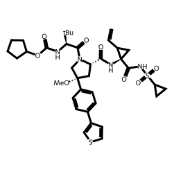 C=CC1C[C@]1(NC(=O)[C@@H]1C[C@@](OC)(c2ccc(-c3ccsc3)cc2)CN1C(=O)[C@@H](NC(=O)OC1CCCC1)C(C)(C)C)C(=O)NS(=O)(=O)C1CC1